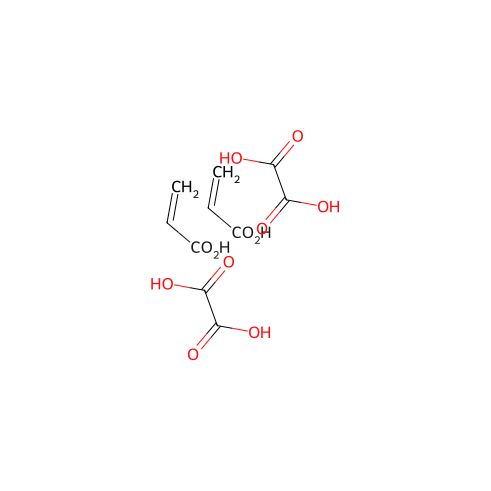 C=CC(=O)O.C=CC(=O)O.O=C(O)C(=O)O.O=C(O)C(=O)O